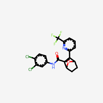 O=C(Nc1ccc(Cl)c(Cl)c1)C1=C(c2cccc(C(F)(F)F)n2)C2CCC1O2